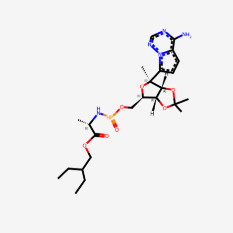 CCC(CC)COC(=O)[C@H](C)N[PH](=O)OC[C@H]1O[C@@](C)(c2ccc3c(N)ncnn23)[C@@H]2OC(C)(C)O[C@@H]21